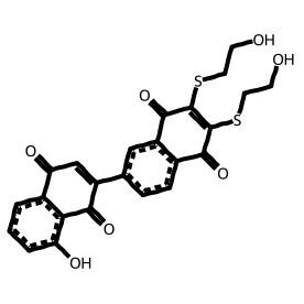 O=C1C(SCCO)=C(SCCO)C(=O)c2cc(C3=CC(=O)c4cccc(O)c4C3=O)ccc21